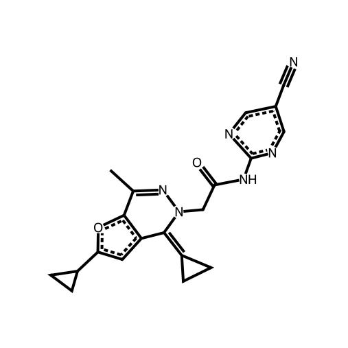 CC1=NN(CC(=O)Nc2ncc(C#N)cn2)C(=C2CC2)c2cc(C3CC3)oc21